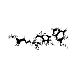 CC(C)OC(=O)CCCOP1(=O)OC[C@H]2O[C@@H](n3cnc4c(=O)[nH]c(N)nc43)[C@](C)(F)[C@@H]2O1